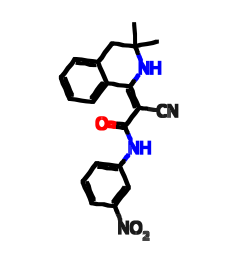 CC1(C)Cc2ccccc2C(=C(C#N)C(=O)Nc2cccc([N+](=O)[O-])c2)N1